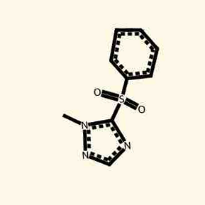 Cn1ncnc1S(=O)(=O)c1cc[c]cc1